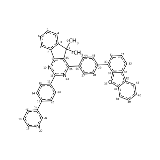 CC1(C)c2ccccc2-c2nc(-c3ccc(-c4cccnc4)cc3)nc(-c3ccc(-c4cccc5c4oc4ccccc45)cc3)c21